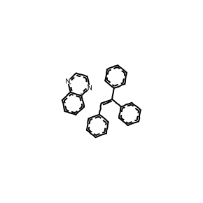 C(=C(c1ccccc1)c1ccccc1)c1ccccc1.c1ccc2nccnc2c1